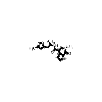 Cc1cc(CC(C)NC(=O)c2cn(C)c(=O)c3[nH]ccc23)on1